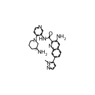 Cn1nccc1-c1ccc2cc(N)c(C(=O)Nc3cnccc3N3CCC[C@H](N)C3)nc2c1